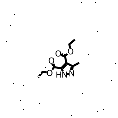 CCOC(=O)c1[nH]nc(C)c1C(=O)OCC